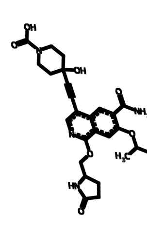 CC(C)Oc1cc2c(OCC3CCC(=O)N3)ncc(C#CC3(O)CCN(C(=O)O)CC3)c2cc1C(N)=O